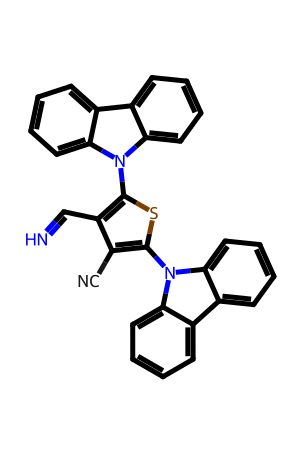 N#Cc1c(-n2c3ccccc3c3ccccc32)sc(-n2c3ccccc3c3ccccc32)c1C=N